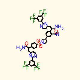 N#Cc1cc(C2CCN(S(=O)(=O)c3ccc(/C(=C\c4ccnc(-c5cc(C(F)(F)F)cc(C(F)(F)F)c5)n4)C(N)=O)cc3)C2)ccc1/C(=C\c1ccnc(-c2cc(C(F)(F)F)cc(C(F)(F)F)c2)n1)C(N)=O